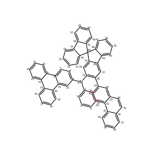 c1ccc(N(c2ccc3c4ccccc4c4ccccc4c3c2)c2cc3c(cc2-c2ccc4c(ccc5ccccc54)c2)-c2ccccc2C32c3ccccc3-c3ccccc32)cc1